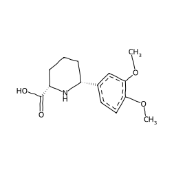 COc1ccc([C@H]2CCC[C@@H](C(=O)O)N2)cc1OC